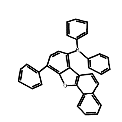 c1ccc(-c2ccc(N(c3ccccc3)c3ccccc3)c3c2oc2c4ccccc4ccc23)cc1